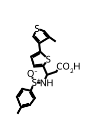 Cc1ccc([S+]([O-])NC(CC(=O)O)c2ccc(-c3cscc3C)s2)cc1